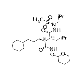 CC(C)C[C@@H](C(=O)NN(CC(C)C)S(C)(=O)=O)[C@H](CCCC1CCCCC1)C(=O)NOC1CCCCO1